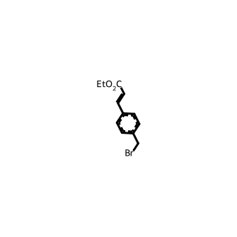 CCOC(=O)/C=C/c1ccc(CBr)cc1